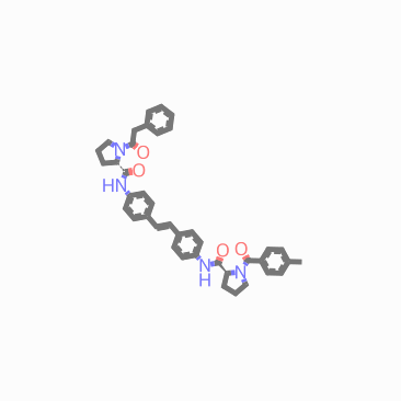 Cc1ccc(C(=O)N2CCC[C@H]2C(=O)Nc2ccc(/C=C/c3ccc(NC(=O)[C@@H]4CCCN4C(=O)Cc4ccccc4)cc3)cc2)cc1